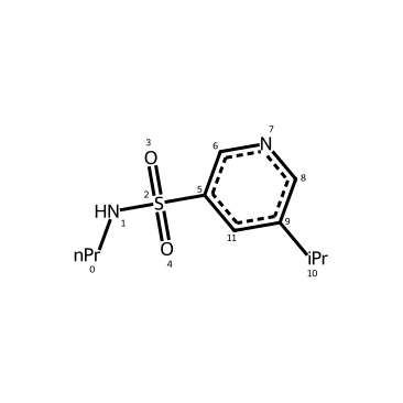 CCCNS(=O)(=O)c1cncc(C(C)C)c1